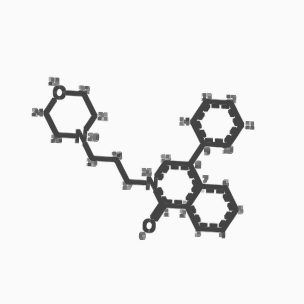 O=c1c2ccccc2c(-c2ccccc2)cn1CCCN1CCOCC1